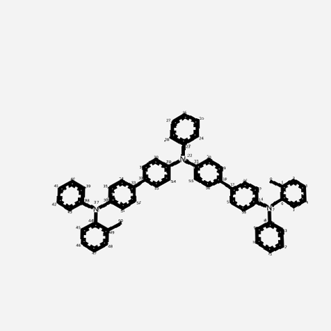 Cc1ccccc1N(c1ccccc1)c1ccc(-c2ccc(N(c3ccccc3)c3ccc(-c4ccc(N(c5ccccc5)c5ccccc5C)cc4)cc3)cc2)cc1